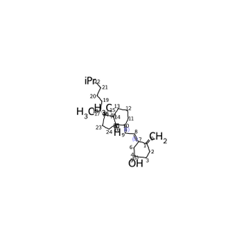 C=C1CC[C@H](O)C/C1=C\C=C1/CCC[C@]2(C)[C@@H](C(C)CCCC(C)C)CC[C@@H]12